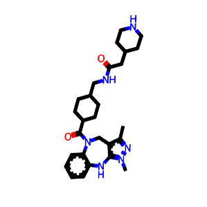 Cc1nn(C)c2c1CN(C(=O)C1CCC(CNC(=O)CC3CCNCC3)CC1)c1ccccc1N2